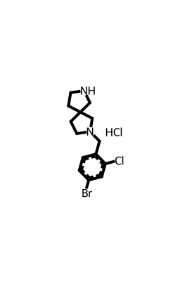 Cl.Clc1cc(Br)ccc1CN1CCC2(CCNC2)C1